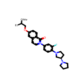 CCC(COc1ccc2c(=O)n(-c3ccc(N4CC[C@@H](N5CCCC5)C4)c(F)c3)ccc2c1)OC